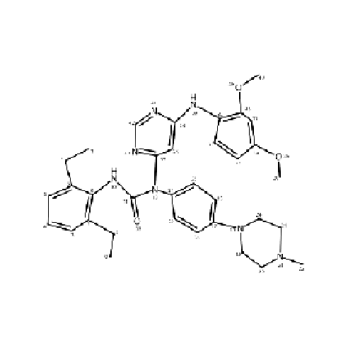 CCc1cccc(CC)c1NC(=O)N(c1ccc(N2CCN(C)CC2)cc1)c1cc(Nc2ccc(OC)cc2OC)ncn1